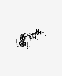 C=C/C(=C\C=C(/C)n1cc2cc(C(C)(C)C)[nH]c2nc1=O)CNCCCNC(=N)N